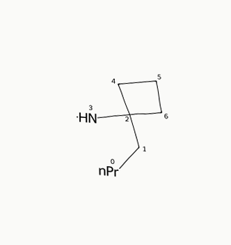 CCCCC1([NH])CCC1